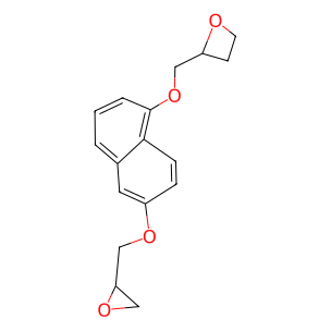 c1cc(OCC2CCO2)c2ccc(OCC3CO3)cc2c1